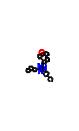 C1=CCCC(C2=CC=C(c3nc(-c4cc(-c5cccc6oc7ccccc7c56)c5ccccc5c4)nc(-c4ccc5c(ccc6ccccc65)c4)n3)CC2)=C1